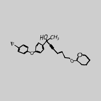 CC(O)(C#CCCCCOC1CCCCO1)c1ccc(Oc2ccc(F)cc2)cc1